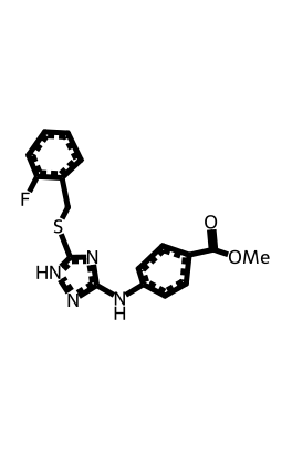 COC(=O)c1ccc(Nc2n[nH]c(SCc3ccccc3F)n2)cc1